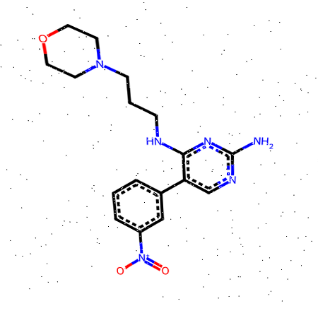 Nc1ncc(-c2cccc([N+](=O)[O-])c2)c(NCCCN2CCOCC2)n1